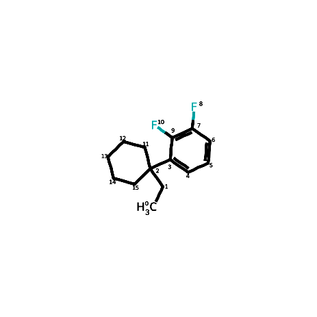 CCC1(c2cccc(F)c2F)CCCCC1